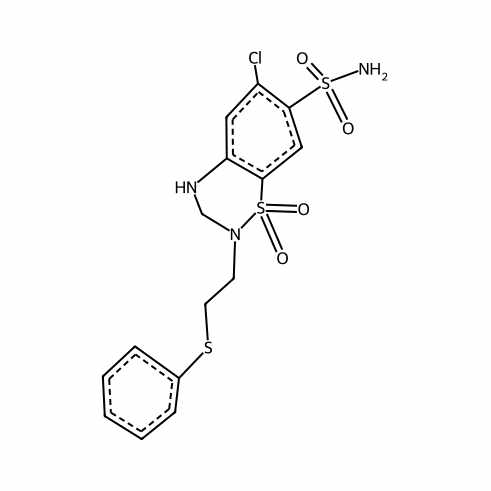 NS(=O)(=O)c1cc2c(cc1Cl)NCN(CCSc1ccccc1)S2(=O)=O